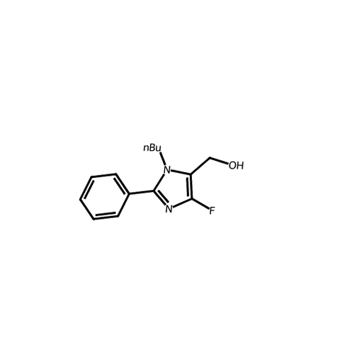 CCCCn1c(-c2ccccc2)nc(F)c1CO